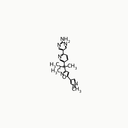 CC(C)[C@](C)(c1ccc(-c2cnc(N)nc2)nc1)c1cc(-c2cnn(C)c2)on1